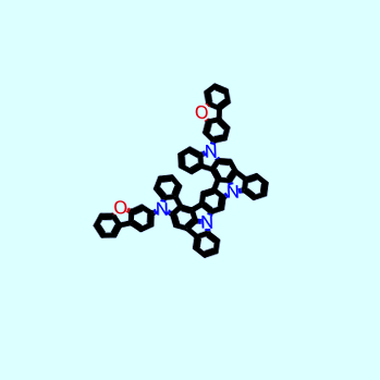 c1ccc2c(c1)oc1cc(-n3c4ccccc4c4c5c6cc7c8c9c%10ccccc%10n(-c%10ccc%11c(c%10)oc%10ccccc%10%11)c9cc9c%10ccccc%10n(c7cc6n6c7ccccc7c(cc43)c56)c98)ccc12